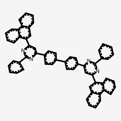 c1ccc(-c2nc(-c3ccc(-c4ccc(-c5cc(-c6cc7ccccc7c7ccccc67)nc(-c6ccccc6)n5)cc4)cc3)cc(-c3cc4ccccc4c4ccccc34)n2)cc1